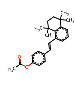 CC(=O)Oc1ccc(C=Cc2cccc3c2C(C)(C)CCC3(C)C)cc1